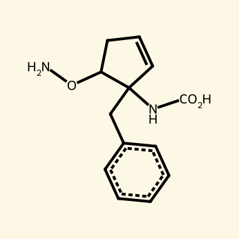 NOC1CC=CC1(Cc1ccccc1)NC(=O)O